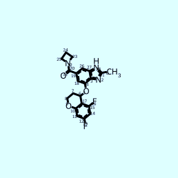 Cc1nc2c(OC3CCOc4cc(F)cc(F)c43)cc(C(=O)N3CCC3)cc2[nH]1